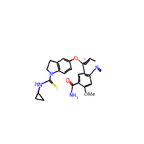 C=Nc1cc(OC)c(C(N)=O)cc1/C(=C\C)Oc1ccc2c(c1)CCN2C(=S)NC1CC1